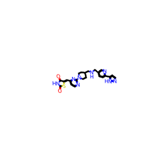 O=C1NC(=O)/C(=C/c2ccnc(N3CCC(CNCc4ccc(-c5ccn[nH]5)nc4)CC3)n2)S1